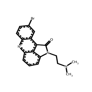 CN(C)CCN1C(=O)c2c3cc(Br)ccc3nc3cccc1c23